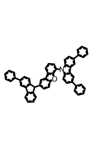 c1ccc(-c2ccc3c(c2)-c2ccccc2C3c2ccc3oc4c(-n5c6ccc(-c7ccccc7)cc6c6cc(-c7ccccc7)ccc65)cccc4c3c2)cc1